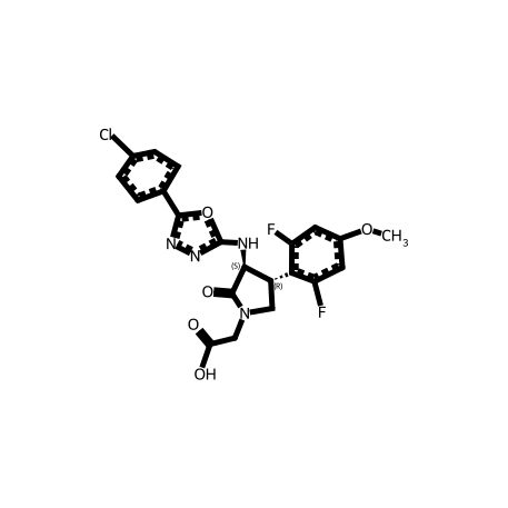 COc1cc(F)c([C@@H]2CN(CC(=O)O)C(=O)[C@H]2Nc2nnc(-c3ccc(Cl)cc3)o2)c(F)c1